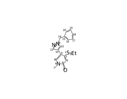 CCSc1cc(=O)n(C)cc1-c1cnn(Cc2ccccc2)c1